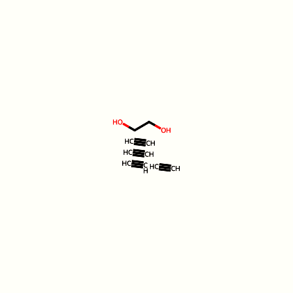 C#C.C#C.C#C.C#C.OCCO